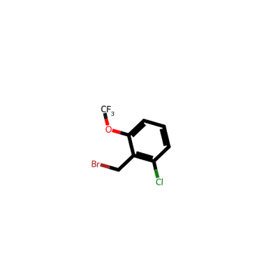 FC(F)(F)Oc1cccc(Cl)c1CBr